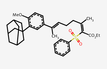 CCOC(=O)C(=C(C)CCC=C(C)c1ccc(OC)c(C23CC4CC(CC(C4)C2)C3)c1)S(=O)(=O)c1ccccc1